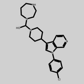 OC(N1CCCNCC1)N1CCC(c2cn(-c3ccc(Cl)cc3)c3cnccc23)CC1